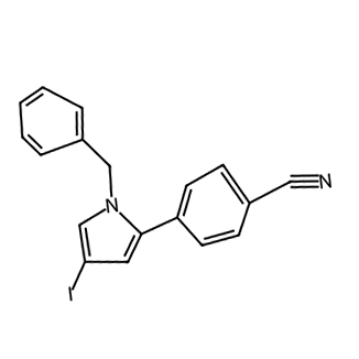 N#Cc1ccc(-c2cc(I)cn2Cc2ccccc2)cc1